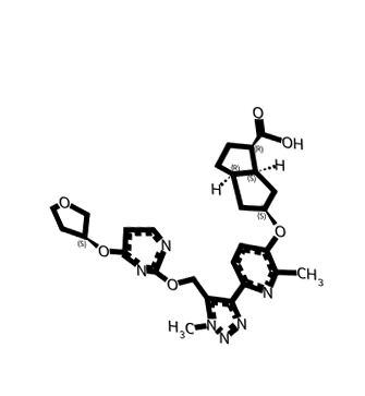 Cc1nc(-c2nnn(C)c2COc2nccc(O[C@H]3CCOC3)n2)ccc1O[C@H]1C[C@H]2CC[C@@H](C(=O)O)[C@H]2C1